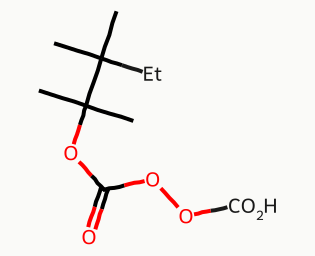 CCC(C)(C)C(C)(C)OC(=O)OOC(=O)O